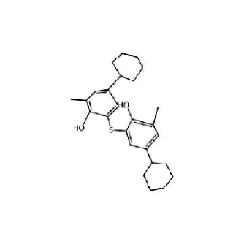 Cc1cc(C2CCCCC2)cc(Sc2cc(C3CCCCC3)cc(C)c2O)c1O